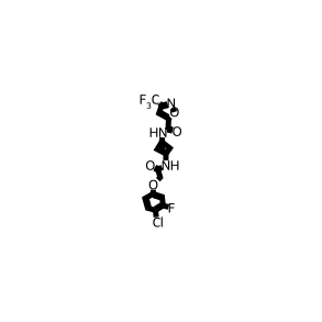 O=C(COc1ccc(Cl)c(F)c1)NC12CC(NC(=O)c3cc(C(F)(F)F)no3)(C1)C2